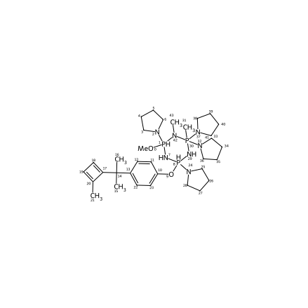 CO[PH]1(N2CCCC2)N[PH](Oc2ccc(C(C)(C)C3=CC=C3C)cc2)(N2CCCC2)NP(C)(N2CCCC2)(N2CCCC2)N1C